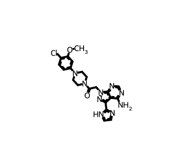 COc1cc(N2CCN(C(=O)Cn3nc(-c4ncc[nH]4)c4c(N)ncnc43)CC2)ccc1Cl